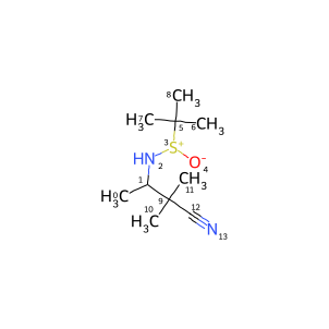 CC(N[S+]([O-])C(C)(C)C)C(C)(C)C#N